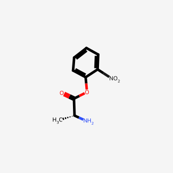 C[C@@H](N)C(=O)Oc1ccccc1[N+](=O)[O-]